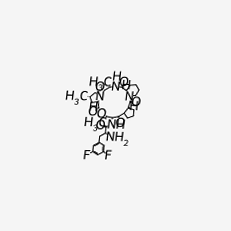 C[C@H]1C[C@H]2C(=O)O[C@@H](C)[C@H](NC(=O)[C@@H](N)Cc3cc(F)cc(F)c3)C(=O)C3CCC[C@H]3C(=O)N3CCCC[C@H]3C(=O)N[C@@H](C)C(=O)N2C1